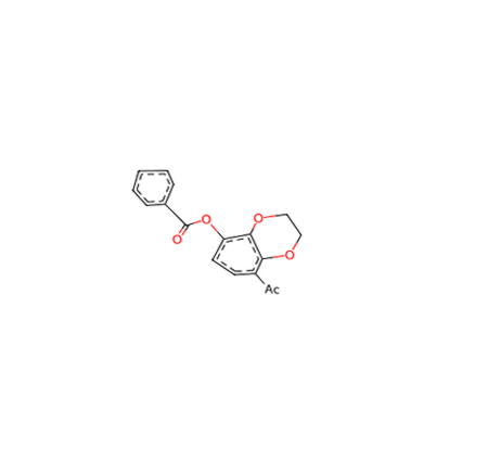 CC(=O)c1ccc(OC(=O)c2ccccc2)c2c1OCCO2